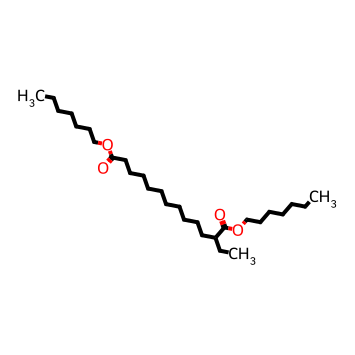 CCCCCCCOC(=O)CCCCCCCCCCC(CC)C(=O)OCCCCCCC